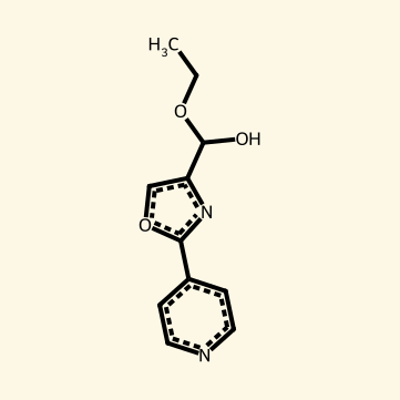 CCOC(O)c1coc(-c2ccncc2)n1